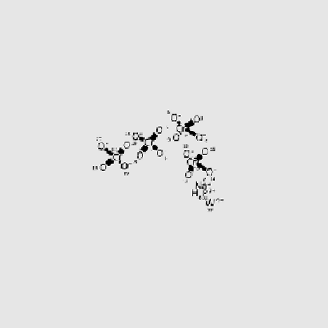 [Na+].[O]=[Cr](=[O])([O-])[O-].[O]=[Cr](=[O])([O-])[O-].[O]=[Cr](=[O])([O-])[O-].[O]=[Cr](=[O])([O-])[O-].[PH6+3].[W+4]